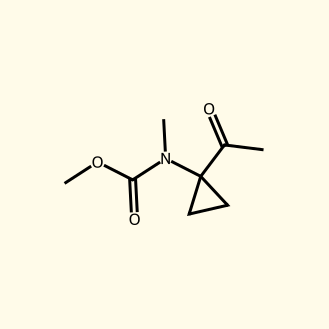 COC(=O)N(C)C1(C(C)=O)CC1